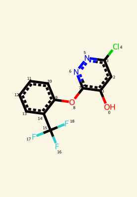 Oc1cc(Cl)nnc1Oc1ccccc1C(F)(F)F